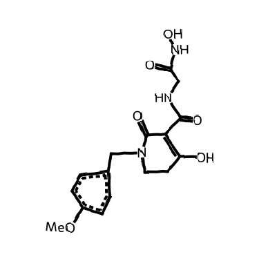 COc1ccc(CN2CCC(O)=C(C(=O)NCC(=O)NO)C2=O)cc1